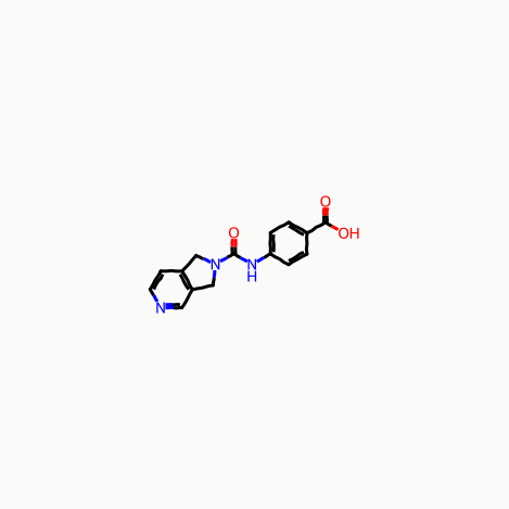 O=C(O)c1ccc(NC(=O)N2Cc3ccncc3C2)cc1